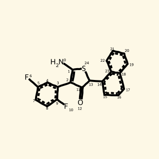 NC1=C(c2cc(F)ccc2F)C(=O)C(c2cccc3ccccc23)S1